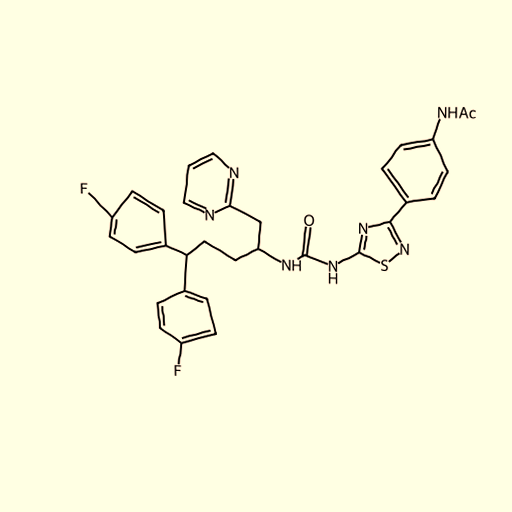 CC(=O)Nc1ccc(-c2nsc(NC(=O)NC(CCC(c3ccc(F)cc3)c3ccc(F)cc3)Cc3ncccn3)n2)cc1